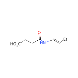 CCC=CNC(=O)CCC(=O)O